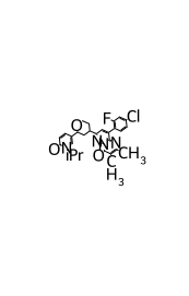 Cc1nc2c(-c3ccc(Cl)cc3F)cc(C3CCOC(c4ccc(=O)n(C(C)C)c4)C3)nn2c(=O)c1C